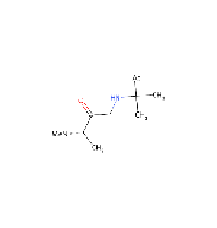 CN[C@@H](C)C(=O)CNC(C)(C)C(C)=O